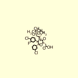 CC[C@@H](CS(=O)(=O)C(C)(C)C)N1C(=O)[C@H](CC(=O)O)O[C@H](c2cccc(Cl)c2)[C@H]1c1ccc(Cl)c(F)c1